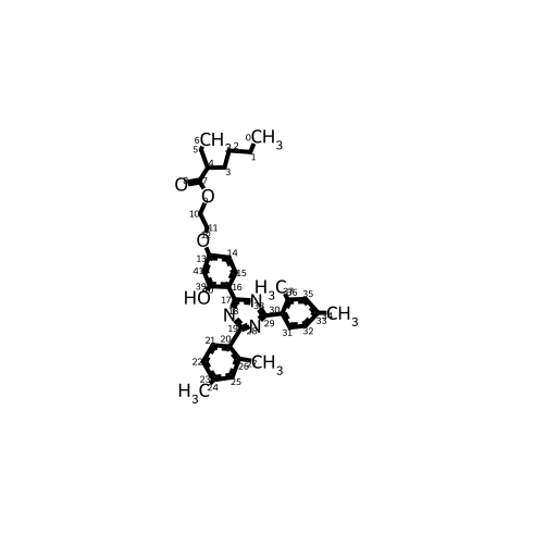 CCCCC(CC)C(=O)OCCOc1ccc(-c2nc(-c3ccc(C)cc3C)nc(-c3ccc(C)cc3C)n2)c(O)c1